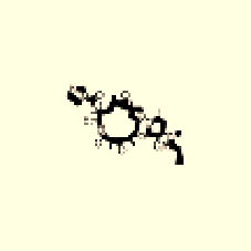 C#CCCN(C)[C@H]1C[C@@H](C)O[C@@H](O[C@@H]2[C@@H](C)C(=O)[C@@H](C)C(=O)O[C@H](CC)[C@@](C)(OC(=O)n3ccnc3)/C=C(\C)C(=O)[C@@H]3CO[C@]2(C)C3)[C@@H]1OC(C)=O